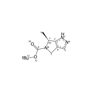 C[C@H]1c2[nH]ncc2CN1C(=O)OC(C)(C)C